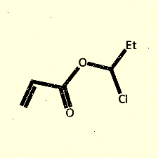 C=CC(=O)OC(Cl)CC